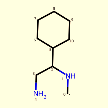 [CH2]NC(CN)C1CCCCC1